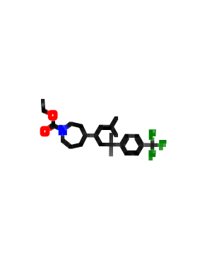 CCOC(=O)N1CCCC(C(C=C(C)C)CC(C)(C)c2ccc(C(F)(F)F)cc2)CC1